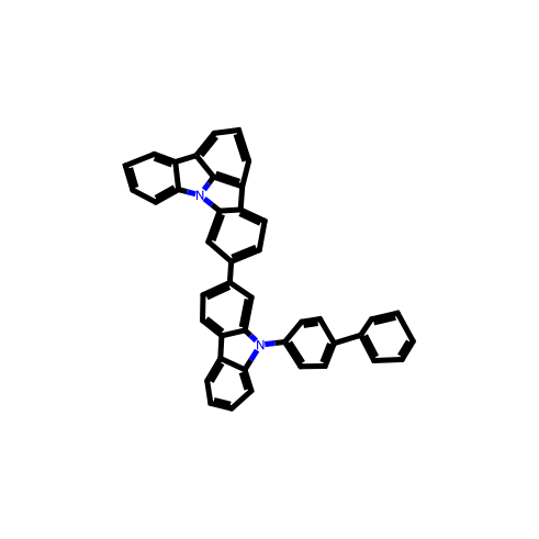 c1ccc(-c2ccc(-n3c4ccccc4c4ccc(-c5ccc6c7cccc8c9ccccc9n(c6c5)c87)cc43)cc2)cc1